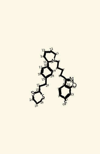 Fc1ccc2c(CCCCN3CCCCC3c3ccc(CCC4SCCCS4)cc3)noc2c1